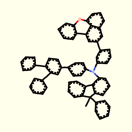 CC1(c2ccccc2)c2ccccc2-c2c(N(c3ccc(-c4ccc(-c5ccccc5)c(-c5ccccc5)c4)cc3)c3cccc(-c4cc5c6c(cccc6c4)Oc4ccccc4-5)c3)cccc21